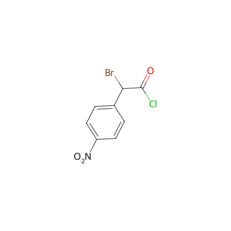 O=C(Cl)C(Br)c1ccc([N+](=O)[O-])cc1